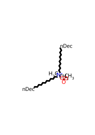 CCCCCCCCCCCCCCCCCCCCCC[N+](C)(C)CCCCCCCCCCCCCCCCCCCCCC.COC(=O)[O-]